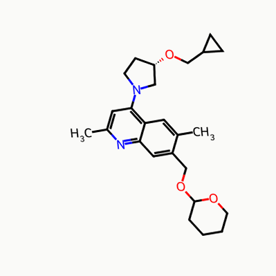 Cc1cc(N2CC[C@H](OCC3CC3)C2)c2cc(C)c(COC3CCCCO3)cc2n1